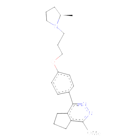 COc1nnc(-c2ccc(OCCCN3CCC[C@H]3C)cc2)c2c1CCC2